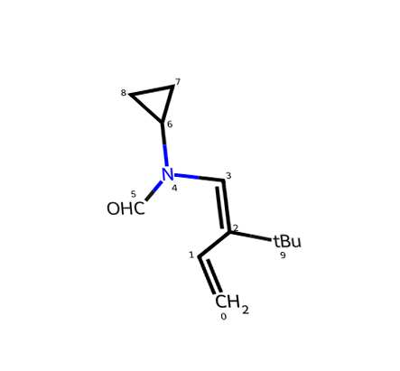 C=C/C(=C\N(C=O)C1CC1)C(C)(C)C